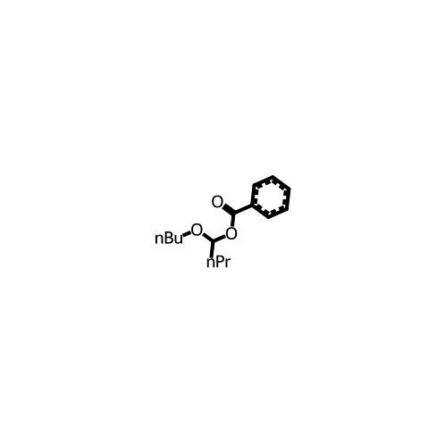 CCCCOC(CCC)OC(=O)c1ccccc1